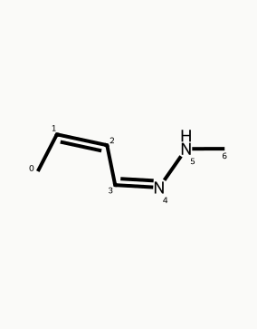 C/C=C\C=N/NC